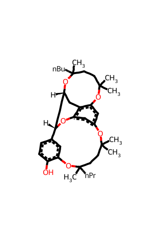 CCCCC1(C)CCC(C)(C)Oc2cc3cc4c2C[C@@H](O1)[C@H](O4)c1ccc(O)c(c1)OC(C)(CCC)CCC(C)(C)O3